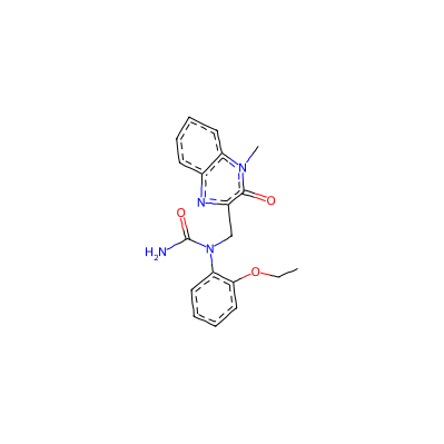 CCOc1ccccc1N(Cc1nc2ccccc2n(C)c1=O)C(N)=O